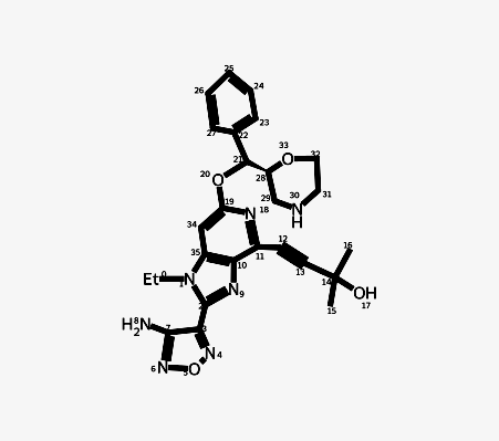 CCn1c(-c2nonc2N)nc2c(C#CC(C)(C)O)nc(OC(c3ccccc3)[C@@H]3CNCCO3)cc21